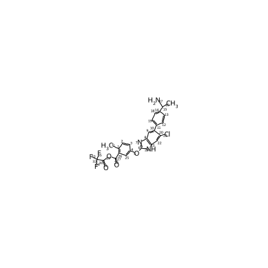 Cc1ccc(Oc2nc3cc(-c4ccc(C(C)N)cc4)c(Cl)cc3[nH]2)cc1C(=O)OC(=O)C(F)(F)F